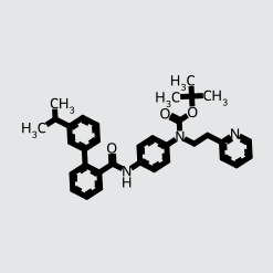 CC(C)c1cccc(-c2ccccc2C(=O)Nc2ccc(N(CCc3ccccn3)C(=O)OC(C)(C)C)cc2)c1